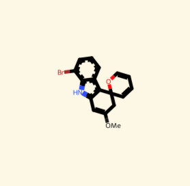 COC1=Cc2[nH]c3c(Br)cccc3c2C2(C=CC=CO2)C1